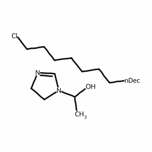 CC(O)N1C=NCC1.CCCCCCCCCCCCCCCCCCl